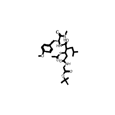 CNC(=O)[C@H](Cc1ccc(OC)cc1)NC(=O)C(CC(C)C)C(CC(=O)NCC(=O)OC(C)(C)C)SC(C)=O